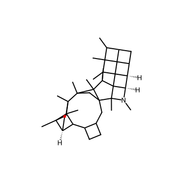 CC1CC2(C)C3(C)C[C@@H]1C3C1CCC1CC13CC2(C)C1(C)C1(C)C2(C)C4(C)C(C)C5CC6[C@H]7[C@H]8N(C)C3(C)C81C72C564